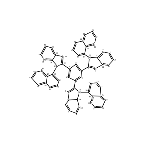 C1=CC2N=C(c3cc(-c4nc5cccnc5n4-c4cccc5cccnc45)cc(-c4nc5cccnc5n4-c4cccc5cccnc45)c3)N(c3cccc4cccnc34)C2N=C1